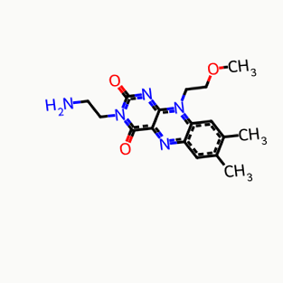 COCCn1c2nc(=O)n(CCN)c(=O)c-2nc2cc(C)c(C)cc21